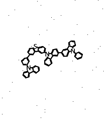 c1ccc(-n2c3ccccc3c3cc(-c4ccc5c(c4)c4ccccc4n5-c4ccc5sc6ccc(-c7cccc(-n8c9ccccc9c9ccccc98)c7)cc6c5c4)ccc32)cc1